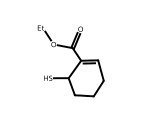 CCOC(=O)C1=CCCCC1S